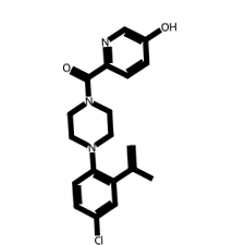 C=C(C)c1cc(Cl)ccc1N1CCN(C(=O)c2ccc(O)cn2)CC1